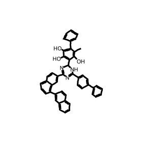 Cc1c(O)c(C2N=C(c3ccc4cccc(-c5ccc6ccccc6c5)c4c3)N=C(c3ccc(-c4ccccc4)cc3)N2)c(O)c(O)c1-c1ccccc1